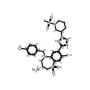 CS(=O)(=O)N1CCCC(n2nnc(-c3cc4c(cc3F)S(=O)(=O)C[C@H](N)CN4Cc3ccc(Cl)cc3)n2)C1